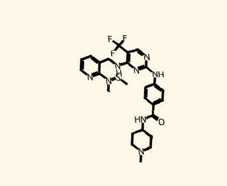 CSN(C)c1ncccc1CNc1nc(Nc2ccc(C(=O)NC3CCN(C)CC3)cc2)ncc1C(F)(F)F